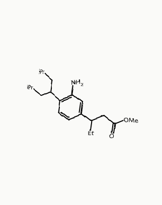 CCC(CC(=O)OC)c1ccc(C(CC(C)C)CC(C)C)c(N)c1